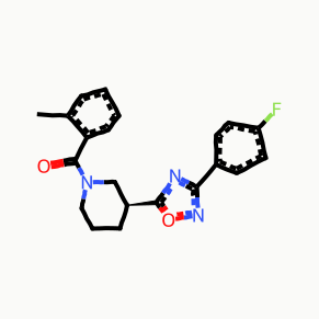 Cc1ccccc1C(=O)N1CCC[C@H](c2nc(-c3ccc(F)cc3)no2)C1